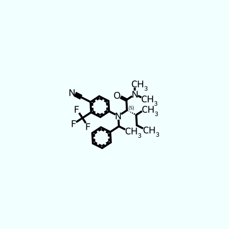 CCC(C)[C@@H](C(=O)N(C)C)N(c1ccc(C#N)c(C(F)(F)F)c1)C(C)c1ccccc1